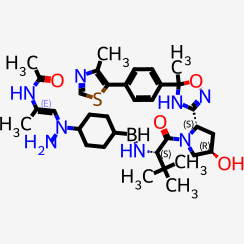 CC(=O)N/C(C)=C/N(N)C1CCC(BN[C@H](C(=O)N2C[C@H](O)C[C@H]2C2=NOC(C)(c3ccc(-c4scnc4C)cc3)N2)C(C)(C)C)CC1